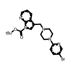 CC(C)(C)OC(=O)n1cc(CN2CCN(c3ccc(Br)cn3)CC2)c2cccnc21